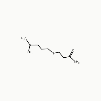 CN(C)CCCSCCC(N)=O